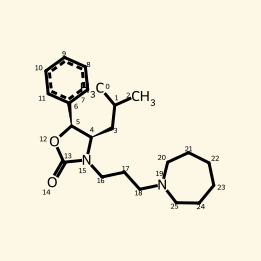 CC(C)C[C@@H]1[C@H](c2ccccc2)OC(=O)N1CCCN1CCCCCC1